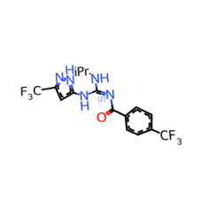 CC(C)N/C(=N/C(=O)c1ccc(C(F)(F)F)cc1)Nc1cc(C(F)(F)F)n[nH]1